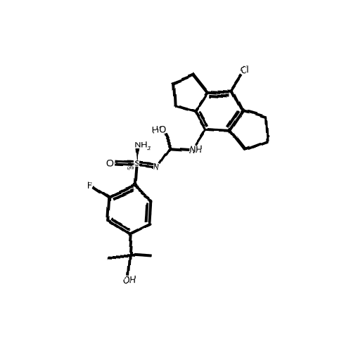 CC(C)(O)c1ccc([S@](N)(=O)=NC(O)Nc2c3c(c(Cl)c4c2CCC4)CCC3)c(F)c1